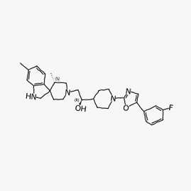 Cc1ccc2c(c1)NCC21CCN(C[C@H](O)C2CCN(c3ncc(-c4cccc(F)c4)o3)CC2)C[C@H]1C